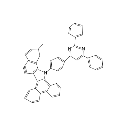 CC1C=Cc2c#cc3c4c5ccccc5c5ccccc5c4n(-c4ccc(-c5cc(-c6ccccc6)nc(-c6ccccc6)n5)cc4)c3c2C1